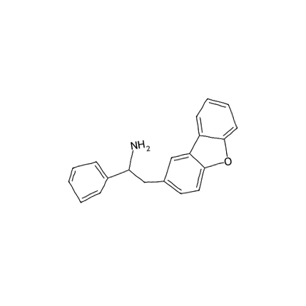 NC(Cc1ccc2oc3ccccc3c2c1)c1ccccc1